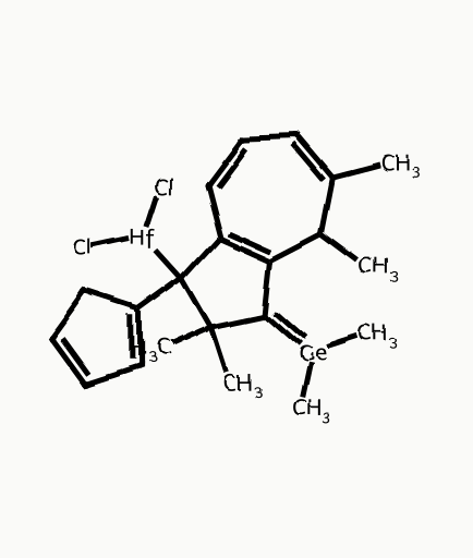 CC1=CC=CC2=C([C](=[Ge]([CH3])[CH3])C(C)(C)[C]2(C2=CC=CC2)[Hf]([Cl])[Cl])C1C